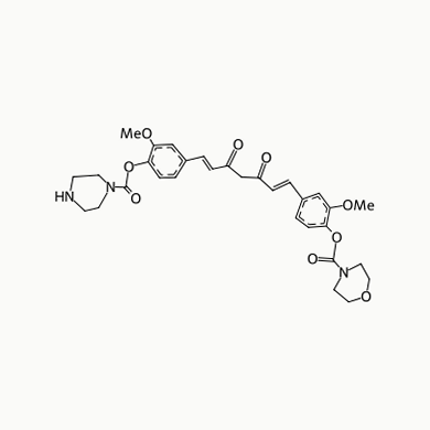 COc1cc(C=CC(=O)CC(=O)C=Cc2ccc(OC(=O)N3CCOCC3)c(OC)c2)ccc1OC(=O)N1CCNCC1